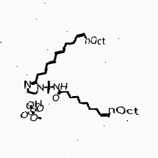 CCCCCCCC/C=C\CCCCCCCCC1=NCCN1C(C)(C)NC(=O)CCCCCCC/C=C\CCCCCCCC.COS(=O)(=O)O